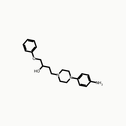 Nc1ccc(N2CCN(CCC(O)COc3ccccc3)CC2)cc1